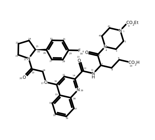 CCOC(=O)N1CCN(C(=O)C(CCC(=O)O)NC(=O)c2cc(OCC(=O)N3CCC[C@H]3c3ccc(F)cc3)c3ccccc3n2)CC1